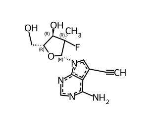 C#Cc1cn([C@@H]2O[C@H](CO)[C@@H](O)[C@@]2(C)F)c2ncnc(N)c12